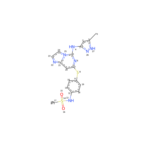 Cc1cc(Nc2nc(Sc3ccc(NS(=O)(=O)C(C)C)cc3)cc3nccn23)n[nH]1